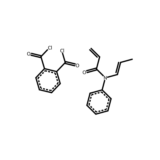 C=CC(=O)N(C=CC)c1ccccc1.O=C(Cl)c1ccccc1C(=O)Cl